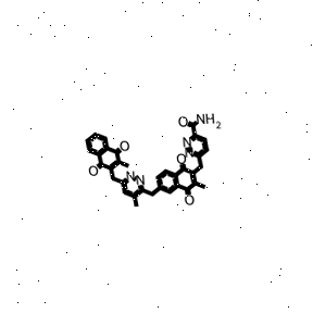 CC1=C(Cc2ccc(C(N)=O)nn2)C(=O)c2ccc(Cc3nnc(CC4=C(C)C(=O)c5ccccc5C4=O)cc3C)cc2C1=O